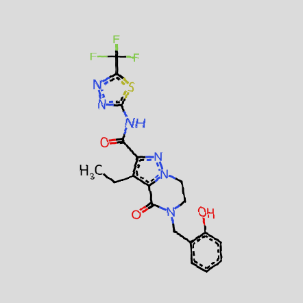 CCc1c(C(=O)Nc2nnc(C(F)(F)F)s2)nn2c1C(=O)N(Cc1ccccc1O)CC2